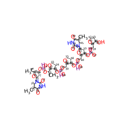 C=C(O[PH](=O)O[C@H]1C[C@H](n2cc(C)c(=O)[nH]c2=O)O[C@@H]1C)[C@H]1OCC[C@@H]1O[PH](=O)OC[C@H]1OCC[C@@H]1O[PH](=O)OC[C@H]1O[C@@H](n2cc(C)c(=O)[nH]c2=O)C[C@@H]1O[PH](=O)OC[C@H]1OCC[C@@H]1O